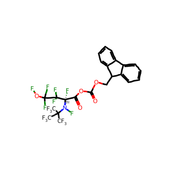 O=C(OCC1c2ccccc2-c2ccccc21)OC(=O)[C@@](F)(N(F)C(C(F)(F)F)(C(F)(F)F)C(F)(F)F)C(F)(F)C(F)(F)OF